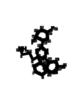 NCCCC1(c2ccccc2)SC(c2cc(F)ccc2F)=NN1c1ccnc(F)c1